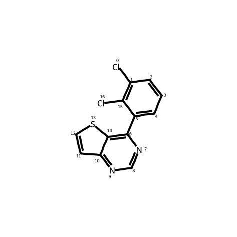 Clc1cccc(-c2ncnc3ccsc23)c1Cl